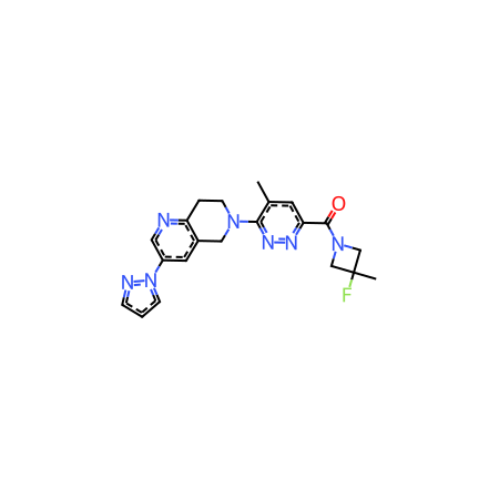 Cc1cc(C(=O)N2CC(C)(F)C2)nnc1N1CCc2ncc(-n3cccn3)cc2C1